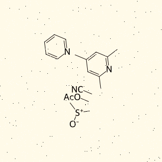 CC#N.COC(C)=O.C[S+](C)[O-].Cc1cc(C)nc(C)c1.c1ccncc1